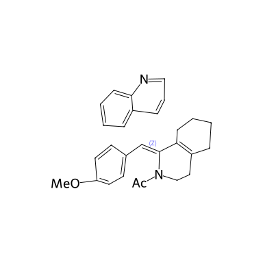 COc1ccc(/C=C2/C3=C(CCCC3)CCN2C(C)=O)cc1.c1ccc2ncccc2c1